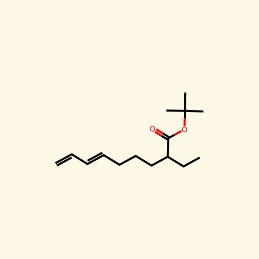 C=CC=CCCCC(CC)C(=O)OC(C)(C)C